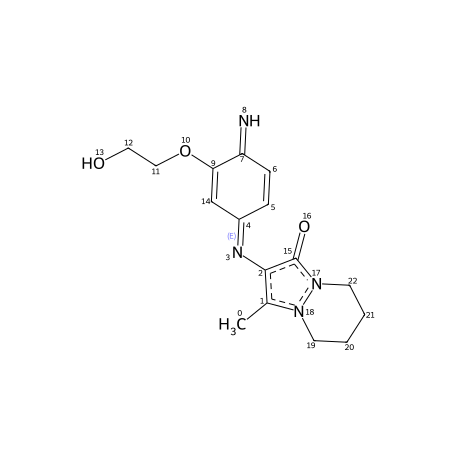 Cc1c(/N=C2\C=CC(=N)C(OCCO)=C2)c(=O)n2n1CCCC2